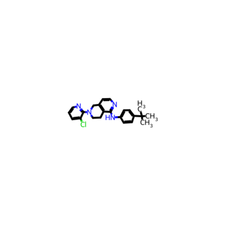 CC(C)(C)c1ccc(Nc2nccc3c2CCN(c2ncccc2Cl)C3)cc1